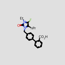 CCCc1c(F)n(CC)c(=O)n1Cc1ccc(-c2ccccc2C(=O)O)cc1